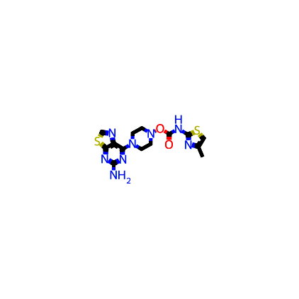 Cc1csc(NC(=O)ON2CCN(c3nc(N)nc4scnc34)CC2)n1